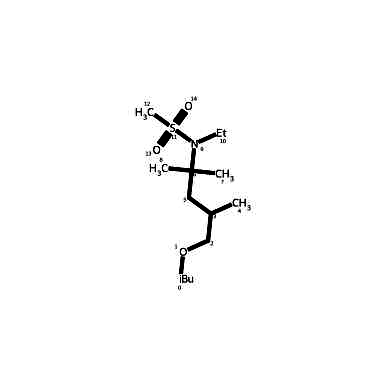 CCC(C)OCC(C)CC(C)(C)N(CC)S(C)(=O)=O